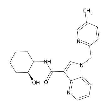 Cc1ccc(Cn2cc(C(=O)NC3CCCC[C@@H]3O)c3ncccc32)nc1